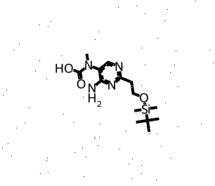 CN(C(=O)O)c1cnc(CCO[Si](C)(C)C(C)(C)C)nc1N